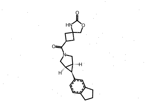 O=C1NC2(CO1)CC(C(=O)N1C[C@@H]3[C@H](C1)[C@@H]3c1ccc3c(c1)CCC3)C2